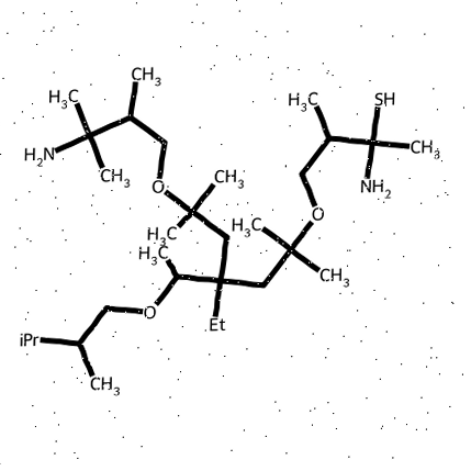 CCC(CC(C)(C)OCC(C)C(C)(C)N)(CC(C)(C)OCC(C)C(C)(N)S)C(C)OCC(C)C(C)C